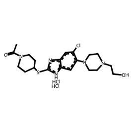 CC(=O)N1CCC(Sc2nc3cc(Cl)c(N4CCN(CCO)CC4)cc3[nH]2)CC1.Cl.Cl